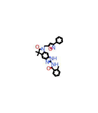 Cc1ccccc1C(=O)Nc1nc2cc3c(cc2[nH]1)N(Cc1cc(-c2ccccc2)no1)C(=O)C3(C)C